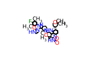 Cc1cc(-n2nc3c(c2-n2cc[nH]c2=O)[C@H](C)N(C(=O)c2[nH]c4c([C@@H]5CCOC(C)(C)C5)cccc4c2C2(c4noc(=O)[nH]4)CC2)CC3)cc(C)c1F